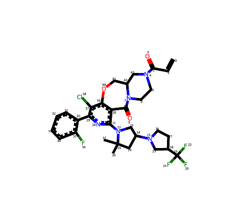 C=CC(=O)N1CCN2C(=O)c3c(N4CC(N5CCC(C(F)(F)F)C5)CC4(C)C)nc(-c4ccccc4F)c(Cl)c3OCC2C1